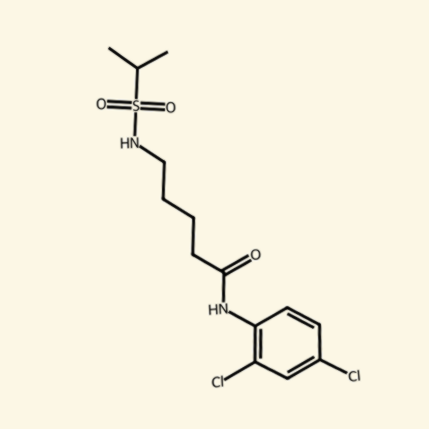 CC(C)S(=O)(=O)NCCCCC(=O)Nc1ccc(Cl)cc1Cl